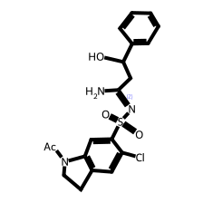 CC(=O)N1CCc2cc(Cl)c(S(=O)(=O)/N=C(\N)CC(O)c3ccccc3)cc21